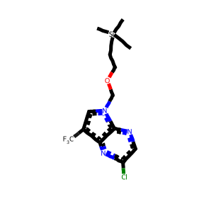 C[Si](C)(C)CCOCn1cc(C(F)(F)F)c2nc(Cl)cnc21